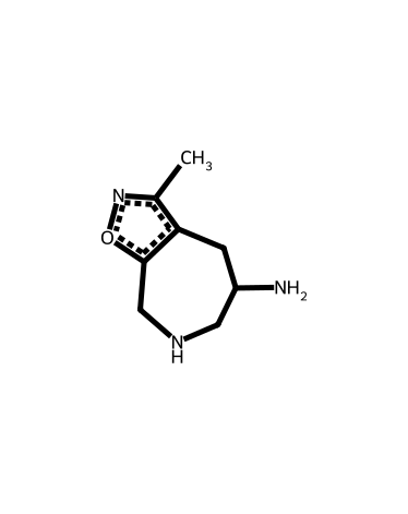 Cc1noc2c1CC(N)CNC2